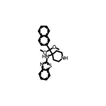 COC(OC)(c1ccc2ccccc2c1)C1(Nc2nc3ccccc3s2)CCNCC1